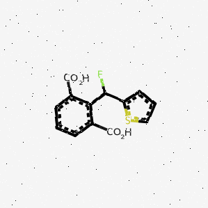 O=C(O)c1cccc(C(=O)O)c1C(F)c1cccs1